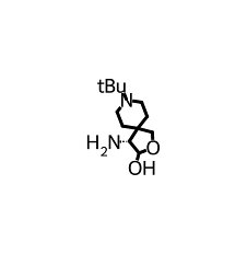 CC(C)(C)N1CCC2(CC1)COC(O)[C@@H]2N